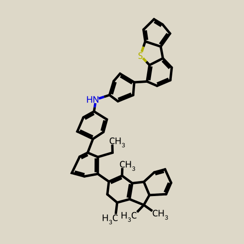 CCc1c(C2=C(C)C3=C(C(C)C2)C(C)(C)C2C=CC=CC32)cccc1-c1ccc(Nc2ccc(-c3cccc4c3sc3ccccc34)cc2)cc1